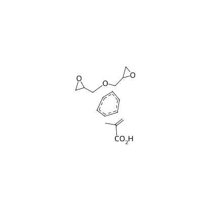 C(OCC1CO1)C1CO1.C=C(C)C(=O)O.c1ccccc1